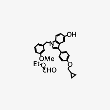 CCOC=O.COc1cccc(Cn2cc(-c3ccc(OCC4CC4)cc3)c3cc(O)ccc32)c1